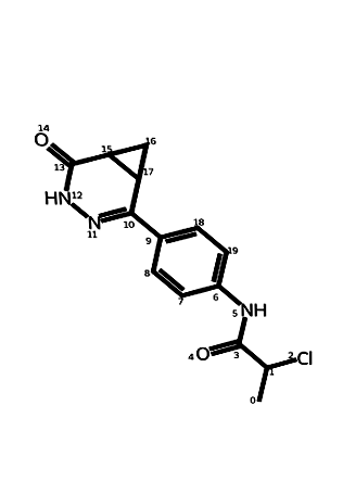 CC(Cl)C(=O)Nc1ccc(C2=NNC(=O)C3CC23)cc1